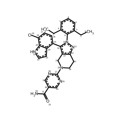 CCc1cccc(CC)c1-n1nc2c(c1-c1ccc(Cl)c3[nH]ccc13)CN(c1ncc(C(N)=O)cn1)CC2